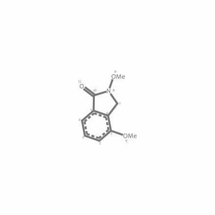 COc1cccc2c1CN(OC)C2=O